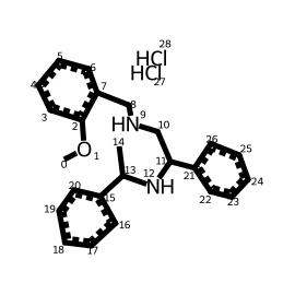 COc1ccccc1CNCC(NC(C)c1ccccc1)c1ccccc1.Cl.Cl